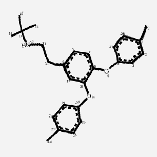 Cc1ccc(Oc2ccc(CCNC(C)(C)C)cc2Oc2ccc(C)cc2)cc1